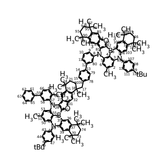 Cc1cc2c3c(c1)N(c1cccc(-c4ccc(CC5(C)CCC(C)(C)c6cc7c8c(oc7cc65)B5c6cc7c(cc6N(c6ccc(C(C)(C)C)cc6)c6cc(C)cc(c65)N8c5cc(-c6ccccc6)ccc5C)C(C)(C)CCC7(C)C)cc4)c1)c1c(oc4cc5c(cc14)C(C)(C)CCC5(C)C)B3c1cc3c(cc1N2c1ccc(C(C)(C)C)cc1)C(C)(C)CCC3(C)C